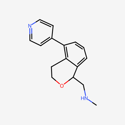 CNCC1OCCc2c(-c3ccncc3)cccc21